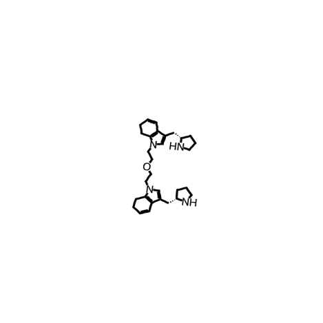 C1=Cc2c(C[C@@H]3CCCN3)cn(CCOCCn3cc(C[C@@H]4CCCN4)c4c3CCC=C4)c2CC1